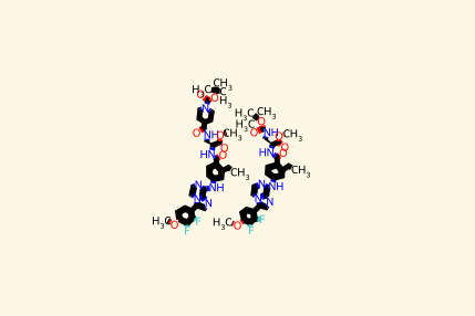 CCc1cc(Nc2nccn3c(-c4ccc(OC)c(F)c4F)cnc23)ccc1C(=O)N[C@@H](CNC(=O)C1CCN(C(=O)OC(C)(C)C)CC1)C(=O)OC.CCc1cc(Nc2nccn3c(-c4ccc(OC)c(F)c4F)cnc23)ccc1C(=O)N[C@@H](CNC(=O)OC(C)(C)C)C(=O)OC